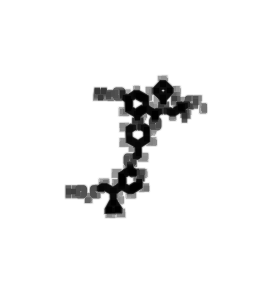 COc1ccc(C(=O)N(CC(F)(F)C(F)(F)F)C2CCC2)c(N2CCC(COc3cc(C(CC(=O)O)C4CC4)ccn3)CC2)c1